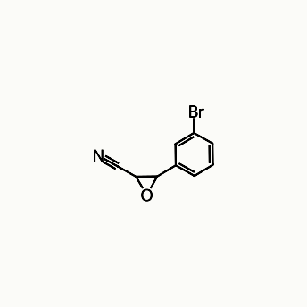 N#CC1OC1c1cccc(Br)c1